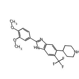 COc1ccc(-c2nc3cc(C4CCNCC4)c(C(F)(F)F)cc3[nH]2)cc1OC